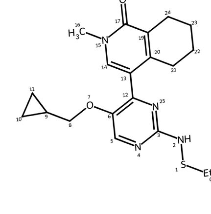 CCSNc1ncc(OCC2CC2)c(-c2cn(C)c(=O)c3c2CCCC3)n1